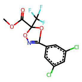 COC(=O)C1(C(F)(F)F)ON=C(c2cc(Cl)cc(Cl)c2)O1